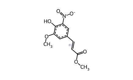 COC(=O)/C=C/c1cc(OC)c(O)c([N+](=O)[O-])c1